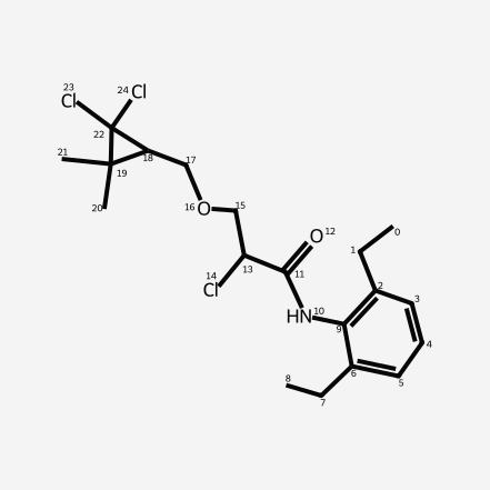 CCc1cccc(CC)c1NC(=O)C(Cl)COCC1C(C)(C)C1(Cl)Cl